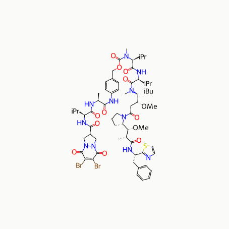 CC[C@H](C)[C@@H]([C@@H](CC(=O)N1CCC[C@H]1[C@H](OC)[C@@H](C)C(=O)N[C@@H](Cc1ccccc1)c1nccs1)OC)N(C)C(=O)[C@@H](NC(=O)[C@H](C(C)C)N(C)C(=O)OCc1ccc(NC(=O)[C@H](C)NC(=O)[C@@H](NC(=O)C2Cn3c(=O)c(Br)c(Br)c(=O)n3C2)C(C)C)cc1)C(C)C